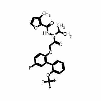 Cc1ccoc1C(=O)NN(C(=O)COc1ccc(F)cc1-c1ccccc1OC(F)(F)F)C(C)C